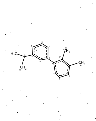 Cc1cccc(-c2cccc(C(C)C)c2)c1C